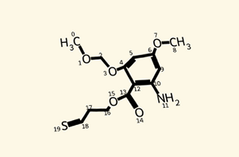 COCOc1cc(OC)cc(N)c1C(=O)OCCC=S